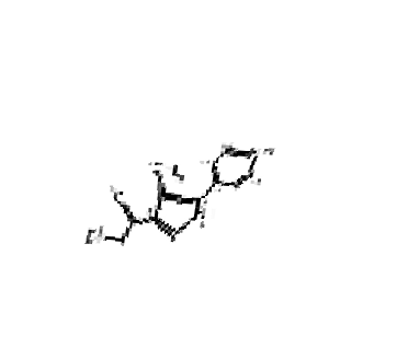 Cc1c(C(=O)CBr)c[nH]c1-c1ccncc1